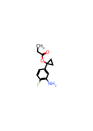 CCC(=O)OC1(c2ccc(F)c(N)c2)CC1